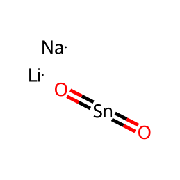 [Li].[Na].[O]=[Sn]=[O]